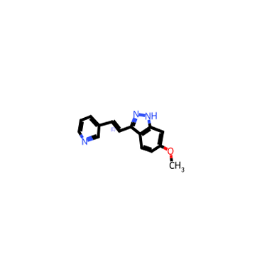 COc1ccc2c(/C=C/c3cccnc3)n[nH]c2c1